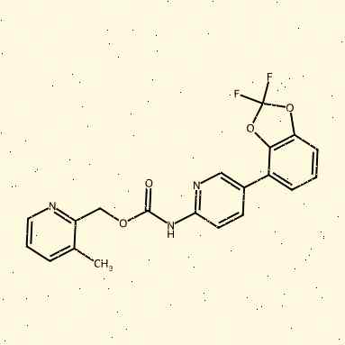 Cc1cccnc1COC(=O)Nc1ccc(-c2cccc3c2OC(F)(F)O3)cn1